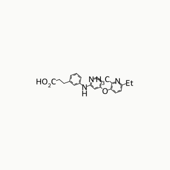 CCc1ccc(Oc2ccnc(Nc3cccc(CCC(=O)O)c3)c2)c(C)n1